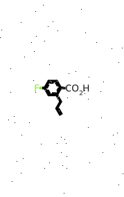 C=CCc1cc(F)ccc1C(=O)O